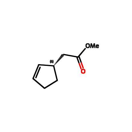 COC(=O)C[C@H]1C=CCC1